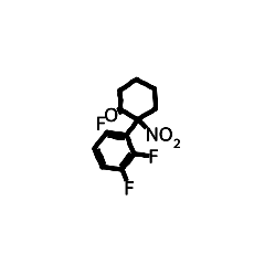 O=C1CCCCC1(c1c(F)ccc(F)c1F)[N+](=O)[O-]